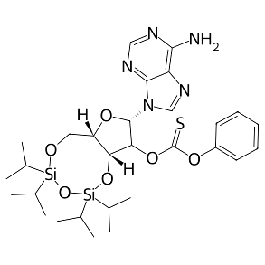 CC(C)[Si]1(C(C)C)OC[C@@H]2O[C@H](n3cnc4c(N)ncnc43)C(OC(=S)Oc3ccccc3)[C@@H]2O[Si](C(C)C)(C(C)C)O1